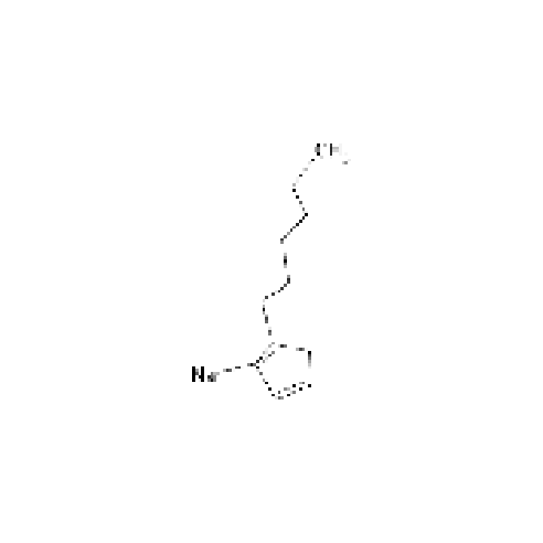 CCCCCCC1=[C]([Na])C=CC1